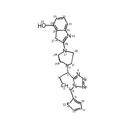 CCC(c1nnnn1Cc1cccs1)N1CCN(c2nc3cccc(O)c3s2)CC1